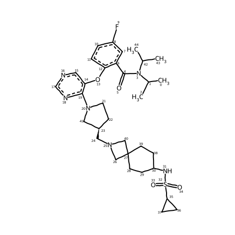 CC(C)N(C(=O)c1cc(F)ccc1Oc1cncnc1N1CC[C@@H](CN2CC3(CCC(NS(=O)(=O)C4CC4)CC3)C2)C1)C(C)C